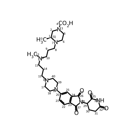 C[C@H]1CN(C(=O)O)CCN1CCCN(C)CCCN1CCN(c2ccc3c(c2)C(=O)N(C2CCC(=O)NC2=O)C3=O)CC1